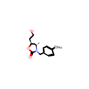 COc1ccc(CN2C(=O)O[C@@H](CCO)[C@@H]2C)cc1